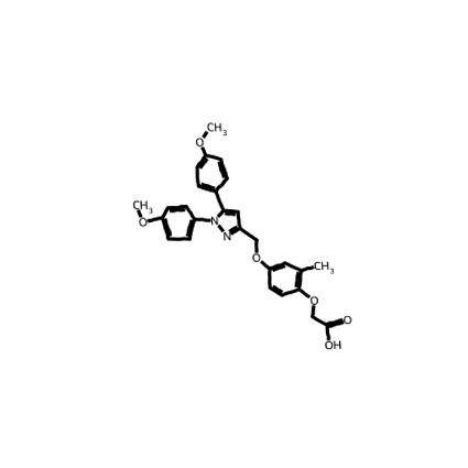 COc1ccc(-c2cc(COc3ccc(OCC(=O)O)c(C)c3)nn2-c2ccc(OC)cc2)cc1